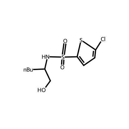 CCCCC(CO)NS(=O)(=O)c1ccc(Cl)s1